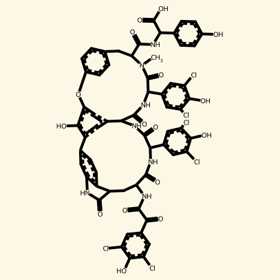 CN1C(=O)C(c2cc(Cl)c(O)c(Cl)c2)NC(=O)C2NC(=O)C(c3cc(Cl)c(O)c(Cl)c3)NC(=O)C(NC(=O)C(=O)c3cc(Cl)c(O)c(Cl)c3)CC3C(=O)Nc4cc(ccc43)-c3cc2cc(c3O)Oc2ccc(cc2)CC1C(=O)NC(C(=O)O)c1ccc(O)cc1